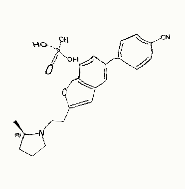 C[C@@H]1CCCN1CCc1cc2cc(-c3ccc(C#N)cc3)ccc2o1.O=P(O)(O)O